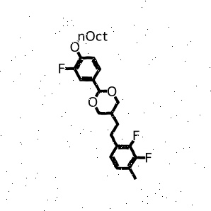 CCCCCCCCOc1ccc(C2OCC(CCc3ccc(C)c(F)c3F)CO2)cc1F